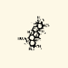 CCN(C(=O)O)[C@]12CCC(C)(C)C[C@H]1[C@H]1C(=O)C=C3[C@@]4(C)C=C(C#N)C(=O)C(C)(C)[C@@H]4CC[C@@]3(C)[C@]1(C)CC2